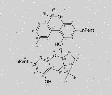 CCCCCc1cc(O)c2c(c1)OC(C)(C)c1ccc(C)cc1-2.CCCCCc1cc(O)c2c(c1)OC1(C)CCC3C1C2C3(C)C